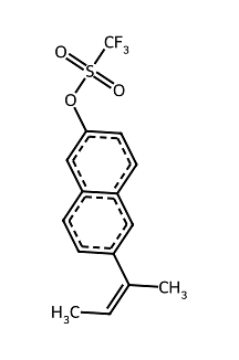 C/C=C(/C)c1ccc2cc(OS(=O)(=O)C(F)(F)F)ccc2c1